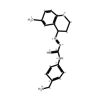 Cc1ccc2c(c1)C(N=NC(=N)Nc1ccc(CN)cc1)CCS2